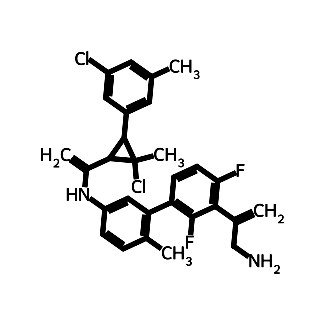 C=C(CN)c1c(F)ccc(-c2cc(NC(=C)C3C(c4cc(C)cc(Cl)c4)C3(C)Cl)ccc2C)c1F